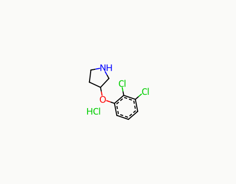 Cl.Clc1cccc(OC2CCNC2)c1Cl